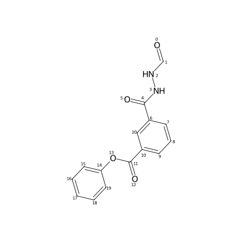 O=CNNC(=O)c1cccc(C(=O)Oc2ccccc2)c1